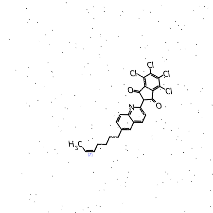 C/C=C\CCCCc1ccc2nc(C3C(=O)c4c(Cl)c(Cl)c(Cl)c(Cl)c4C3=O)ccc2c1